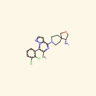 Cc1nc(N2CCC3(CC2)COC[C@H]3N)c2ccnn2c1-c1cccc(Cl)c1Cl